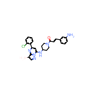 Bc1cnn2c(NC3CCN(C(=O)/C=C/c4cccc(N)c4)CC3)cc(-c3ccccc3Cl)nc12